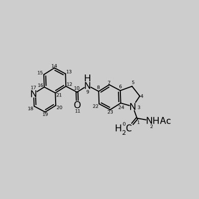 C=C(NC(C)=O)N1CCc2cc(NC(=O)c3cccc4ncccc34)ccc21